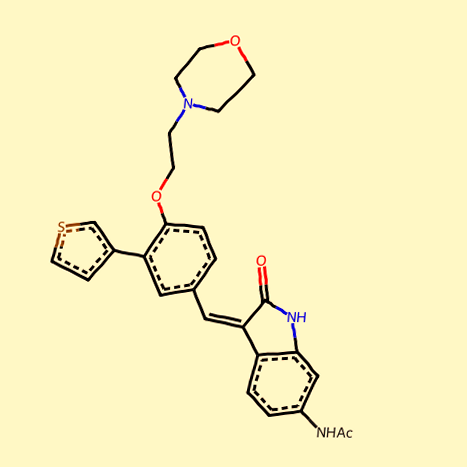 CC(=O)Nc1ccc2c(c1)NC(=O)C2=Cc1ccc(OCCN2CCOCC2)c(-c2ccsc2)c1